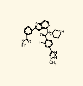 CC(C)NC(=O)c1cccc(-c2cc3c(N(C(=O)c4ccc(-c5cn(C)nn5)cc4F)[C@@H]4CCCNC4)nccc3s2)c1